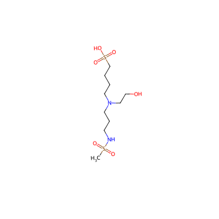 CS(=O)(=O)NCCCN(CCO)CCCCS(=O)(=O)O